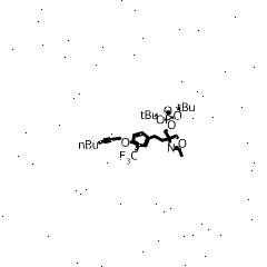 CCCCC#CCOc1ccc(CCC2(COP(=O)(OC(C)(C)C)OC(C)(C)C)COC(C)=N2)cc1C(F)(F)F